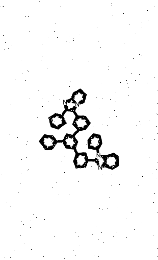 c1ccc(-c2cc(-c3cccc(-c4nc5ccccc5n4-c4ccccc4)c3)cc(-c3cccc(-c4c(-c5ccccc5)nc5ccccn45)c3)c2)cc1